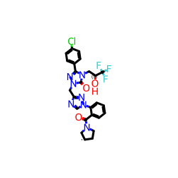 O=C(c1ccccc1-n1cnc(Cn2nc(-c3ccc(Cl)cc3)n(C[C@H](O)C(F)(F)F)c2=O)n1)N1C[CH]CC1